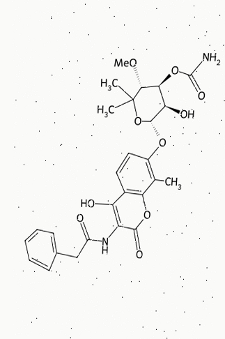 CO[C@@H]1[C@@H](OC(N)=O)[C@@H](O)[C@H](Oc2ccc3c(O)c(NC(=O)Cc4ccccc4)c(=O)oc3c2C)OC1(C)C